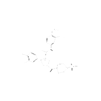 CCS(=O)(=O)N1CCC(C(=O)N2C[C@H](c3ccc(Cl)c(Cl)c3)[C@@H](N(C)C(=O)c3ccc(OC)c(C(F)(F)F)c3)C2)CC1